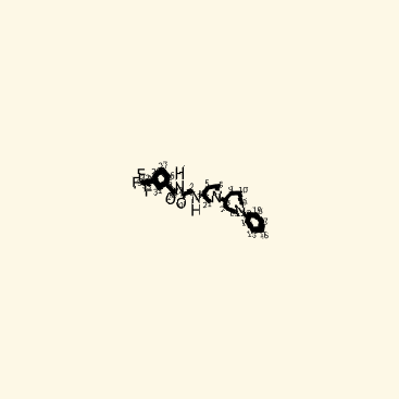 O=C(CN[C@@H]1CCN(C2CCCN(c3ccccc3)CC2)C1)NC(=O)c1cccc(C(F)(F)F)c1